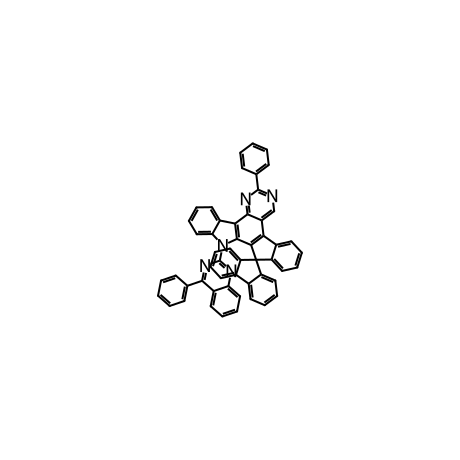 c1ccc(-c2ncc3c4c(c5c(c6ccccc6n5-c5nc(-c6ccccc6)c6ccccc6n5)c3n2)C2(c3ccccc3-c3ccccc32)c2ccccc2-4)cc1